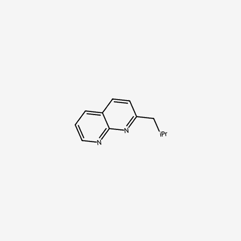 CC(C)Cc1ccc2cccnc2n1